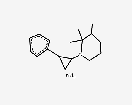 CC1CCCN(C2CC2c2ccccc2)C1(C)C.N